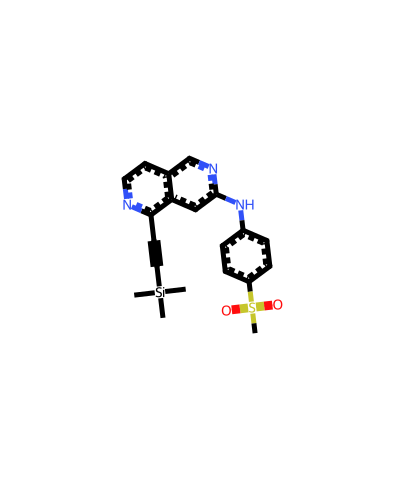 C[Si](C)(C)C#Cc1nccc2cnc(Nc3ccc(S(C)(=O)=O)cc3)cc12